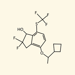 CC(Oc1ccc(SC(F)(F)F)c2c1CC(F)(F)C2O)C1CCC1